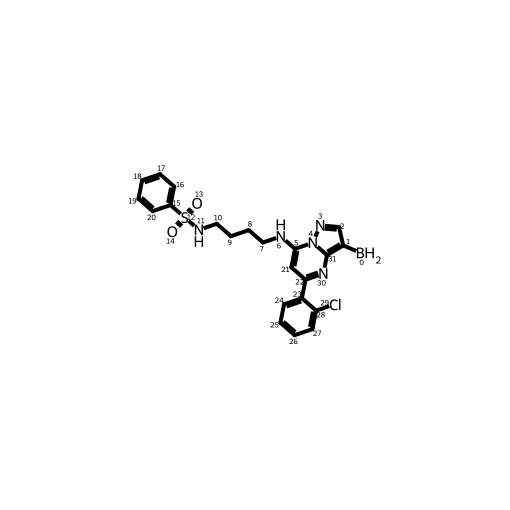 Bc1cnn2c(NCCCCNS(=O)(=O)c3ccccc3)cc(-c3ccccc3Cl)nc12